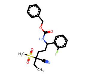 CCC(C#N)(CCC(NC(=O)OCc1ccccc1)c1ccccc1F)S(C)(=O)=O